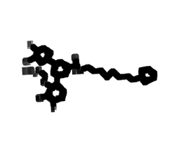 O=C(O)COc1c(-c2cc(C(=O)NCCCCCCCCc3ccccc3)cc(-c3ccc(F)c(Cl)c3)c2)ccc(F)c1Cl